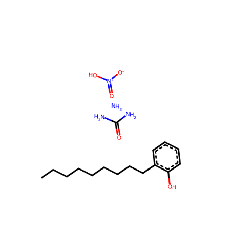 CCCCCCCCCc1ccccc1O.N.NC(N)=O.O=[N+]([O-])O